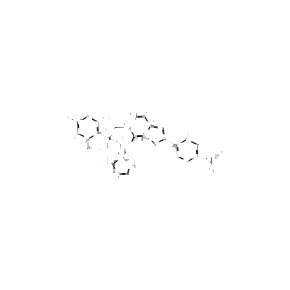 CC(n1ncc2cc(-c3ccc([N+](=O)[O-])cc3)cn2c1=O)C(O)(Cn1cncn1)c1ccc(F)cc1F